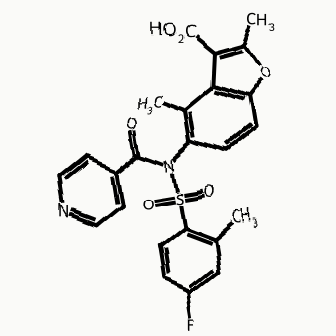 Cc1cc(F)ccc1S(=O)(=O)N(C(=O)c1ccncc1)c1ccc2oc(C)c(C(=O)O)c2c1C